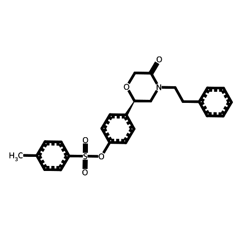 Cc1ccc(S(=O)(=O)Oc2ccc([C@@H]3CN(CCc4ccccc4)C(=O)CO3)cc2)cc1